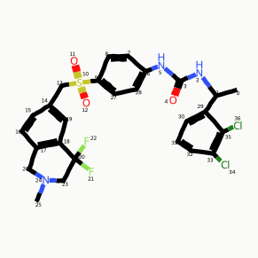 CC(NC(=O)Nc1ccc(S(=O)(=O)Cc2ccc3c(c2)C(F)(F)CN(C)C3)cc1)c1cccc(Cl)c1Cl